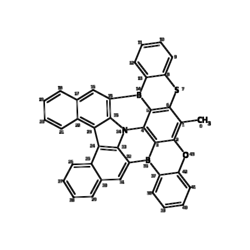 Cc1c2c3c4c5c1Sc1ccccc1B5c1cc5ccccc5c5c6c7ccccc7cc(c6n-4c15)B3c1ccccc1O2